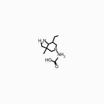 CC(=O)O.CCC1CN(N)CC(C)(CC)C1N